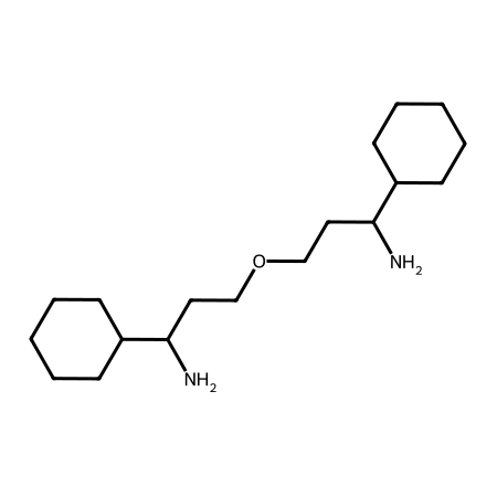 NC(CCOCCC(N)C1CCCCC1)C1CCCCC1